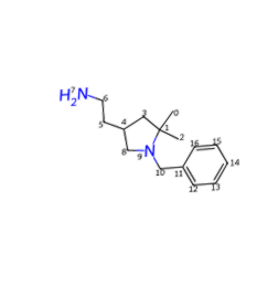 CC1(C)CC(CCN)CN1Cc1ccccc1